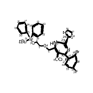 CCOC(=O)C1=C(COCCO[Si](c2ccccc2)(c2ccccc2)C(C)(C)C)NC(c2nccs2)=NC1c1ccc(F)cc1Br